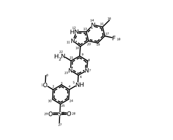 COc1cc(Nc2ncc(-c3n[nH]c4nc(C)c(F)cc34)c(N)n2)cc(S(C)(=O)=O)c1